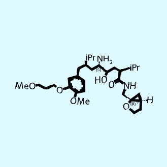 COCCCOc1cc(CC(C[C@H](N)C(O)CC(C(=O)NC[C@@]23C[C@H]2CCO3)C(C)C)C(C)C)ccc1OC